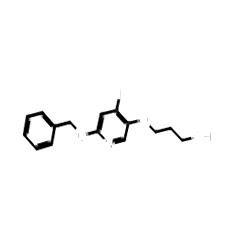 OCCCOc1cnc(OCc2ccccc2)cc1I